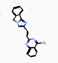 Cc1nc(/C=C/c2cn3c(n2)-c2ccccc2C3)nc2ccccc12